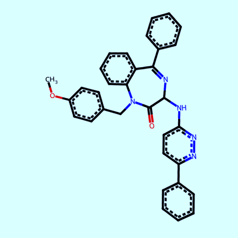 COc1ccc(CN2C(=O)C(Nc3ccc(-c4ccccc4)nn3)N=C(c3ccccc3)c3ccccc32)cc1